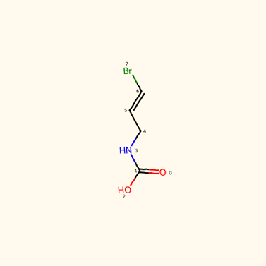 O=C(O)NCC=CBr